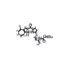 C/C=C(\C=C/Cc1ccc(C(=O)c2cc3c([nH]2)C=CCC=C3C)[nH]1)NC(=O)OC(C)(C)C